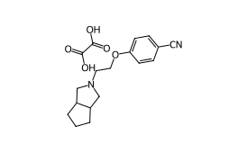 N#Cc1ccc(OCCN2CC3CCCC3C2)cc1.O=C(O)C(=O)O